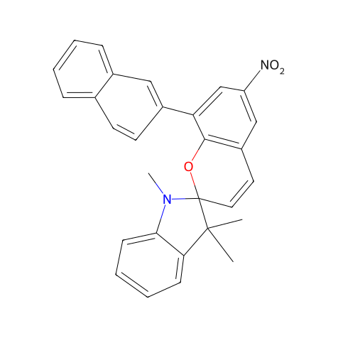 CN1c2ccccc2C(C)(C)C12C=Cc1cc([N+](=O)[O-])cc(-c3ccc4ccccc4c3)c1O2